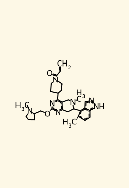 C=CC(=O)N1CCC(c2nc(OCC3CCCN3C)nc3c2CN(C)C(c2c(C)ccc4[nH]ncc24)C3)CC1